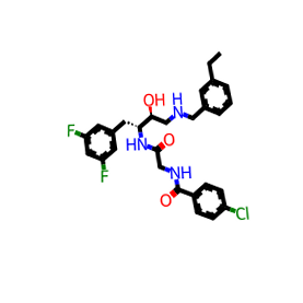 CCc1cccc(CNC[C@H](O)[C@@H](Cc2cc(F)cc(F)c2)NC(=O)CNC(=O)c2ccc(Cl)cc2)c1